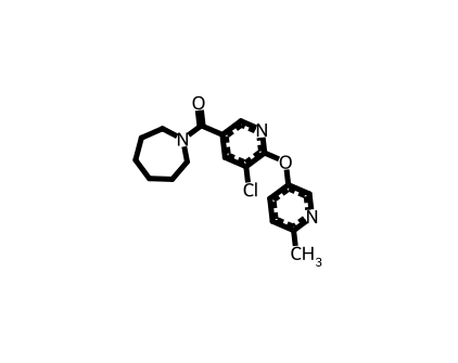 Cc1ccc(Oc2ncc(C(=O)N3CCCCCC3)cc2Cl)cn1